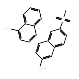 COc1ccc2cc(S(C)(=O)=O)ccc2c1.O=Cc1cccc2ccccc12